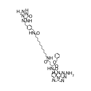 CN(Cc1cnc2nc(N)nc(N)c2n1)c1ccc(C(=O)NC(CCC(=O)NCCCCCCCCCCCC(=O)NCc2ccc(Cc3nc4nc(N)[nH]c(=O)c4[nH]3)cc2)C(=O)OCc2ccccc2)cc1